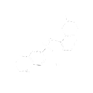 CN1CCc2cccc(NS(=O)(=O)c3ccc4c(c3)OCCN4C)c2C1.Cl